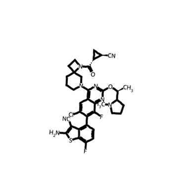 C[C@H](Oc1nc(N2CCCC3(CCN3C(=O)[C@@H]3C[C@H]3C#N)C2)c2cc(Cl)c(-c3ccc(F)c4sc(N)c(C#N)c34)c(F)c2n1)C1CCCN1C